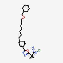 N/C(=N\Cl)C1(c2nnc(-c3ccc(CCCCCCCOCC4CCCCC4)cc3)o2)CC1